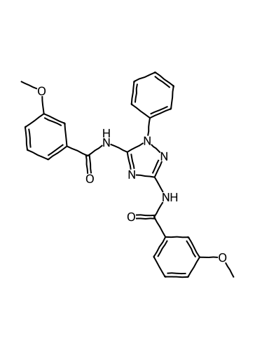 COc1cccc(C(=O)Nc2nc(NC(=O)c3cccc(OC)c3)n(-c3ccccc3)n2)c1